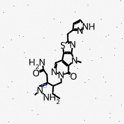 CCC(Cn1ncc2c3sc(Cc4cc[nH]n4)nc3n(C)c2c1=O)/C(=C\N(C)N)CC(N)=O